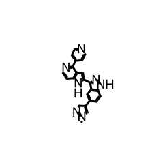 Cn1cc(-c2ccc3[nH]nc(-c4cc5c(-c6ccncc6)nccc5[nH]4)c3c2)cn1